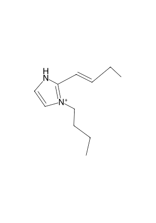 CCC=Cc1[nH]cc[n+]1CCCC